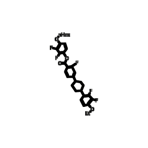 CCCCCCOc1ccc(OC(=O)c2ccc(C3CCC(c4ccc(OCC)c(F)c4F)CC3)cc2F)c(F)c1F